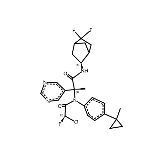 CC1(c2ccc(N(C(=O)[C@H](F)Cl)[C@@](C)(C(=O)N[C@H]3CC4CC3CC4(F)F)c3cncnc3)cc2)CC1